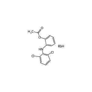 CC(=O)Oc1ccccc1Nc1c(Cl)cccc1Cl.[RbH]